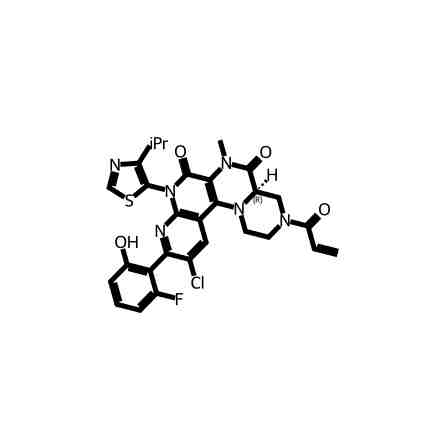 C=CC(=O)N1CCN2c3c(c(=O)n(-c4scnc4C(C)C)c4nc(-c5c(O)cccc5F)c(Cl)cc34)N(C)C(=O)[C@H]2C1